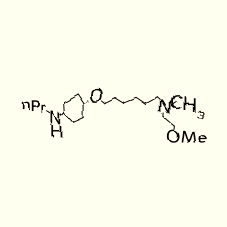 CCCN[C@H]1CC[C@H](OCCCCCCN(C)CCOC)CC1